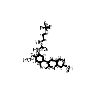 CNc1cc2nc(C)c(-c3cc(NC(=O)NCCOC(F)(F)F)c(F)cc3C)cc2cn1.Cl